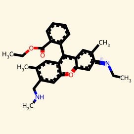 CC/N=c1\cc2oc3cc(CNC)c(C)cc3c(-c3ccccc3C(=O)OCC)c-2cc1C